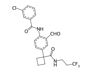 O=Cc1cc(C2(C(=O)NCCC(F)(F)F)CCC2)ccc1NC(=O)c1cccc(Cl)c1